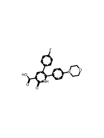 O=C(O)c1cc(-c2ccc(F)cc2)c(-c2ccc(N3CCOCC3)cc2)[nH]c1=O